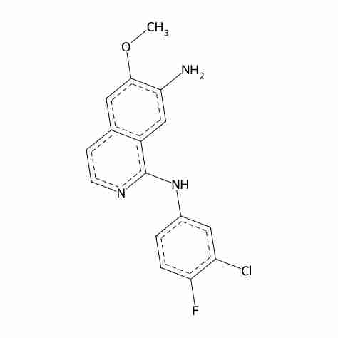 COc1cc2ccnc(Nc3ccc(F)c(Cl)c3)c2cc1N